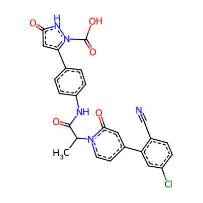 CC(C(=O)Nc1ccc(-c2cc(=O)[nH]n2C(=O)O)cc1)n1ccc(-c2cc(Cl)ccc2C#N)cc1=O